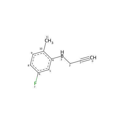 C#CCBc1cc(F)ccc1C